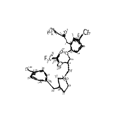 NC(=O)Cc1cc(Cl)ccc1OCC(CN1CCC(Cc2ccc(Cl)cc2)C1)OC(=O)C(F)(F)F